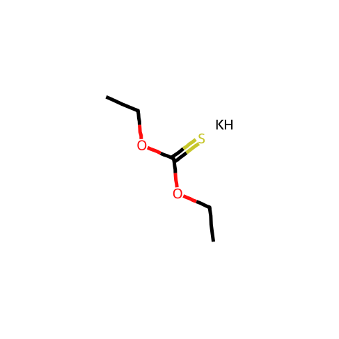 CCOC(=S)OCC.[KH]